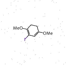 COC1=CC(I)=C(OC)C[CH]1